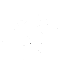 CC1=C(C)C(C)C(C(c2ccccc2)(c2ccccc2)c2cccc([SiH](C)C)c2NC(C)C)=C1C